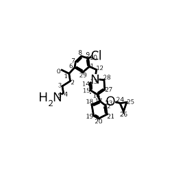 CC(CCCN)c1ccc(Cl)c(CN2C=[C]C(c3ccccc3OC3CC3)=CC2)c1